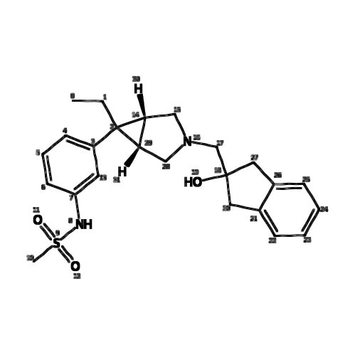 CCC1(c2cccc(NS(C)(=O)=O)c2)[C@@H]2CN(CC3(O)Cc4ccccc4C3)C[C@@H]21